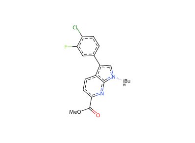 CC[C@@H](C)n1cc(-c2ccc(Cl)c(F)c2)c2ccc(C(=O)OC)nc21